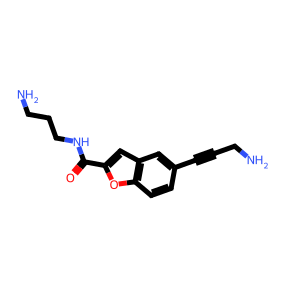 NCC#Cc1ccc2oc(C(=O)NCCCN)cc2c1